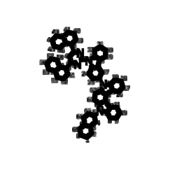 c1ccc2cc(-n3c4ccccc4c4c5c6ccccc6n(-c6ccc7c(c6)c6ccccc6n7-c6nc(-c7cccc8ccccc78)cc(-c7cccc8ccccc78)n6)c5ccc43)ccc2c1